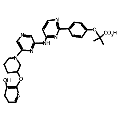 CC(C)(Oc1ccc(-c2nccc(Nc3cncc(N4CCCC(OC5=C(O)CCC=N5)C4)n3)n2)cc1)C(=O)O